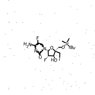 CC(C)(C)[Si](C)(C)OC[C@@]1(CI)O[C@@H](n2cc(F)c(N)nc2=O)[C@@H](F)[C@@H]1O